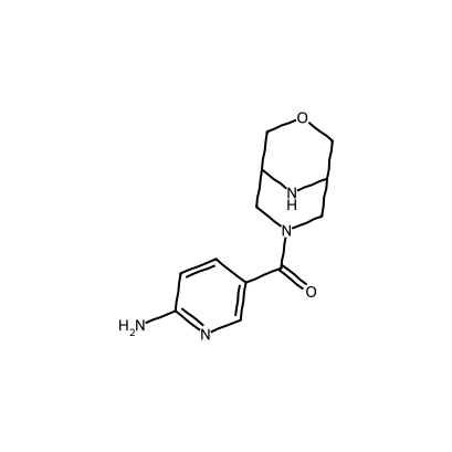 Nc1ccc(C(=O)N2CC3COCC(C2)N3)cn1